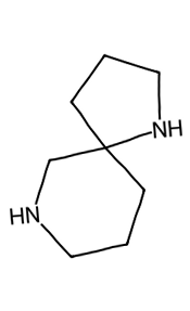 C1CNCC2(C1)CCCN2